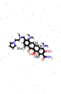 B=C1C(C(N)=O)=C(O)[C@@H](N(C)C)[C@@H]2C[C@@H]3Cc4c(c(OC)cc(CN(C)CCN5CCCC5)c4N(C)C)C(=O)C3=C(O)[C@]12O